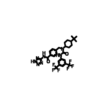 CC(C)(C)C1CCC(N(Cc2ccc(C(=O)Nc3nn[nH]n3)cc2)C(=O)Nc2cc(C(F)(F)F)cc(C(F)(F)F)c2)CC1